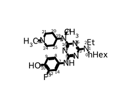 CCCCCCN(CC)c1nc(Nc2ccc(O)c(F)c2)nc(N(C)C2CCN(C)CC2)n1